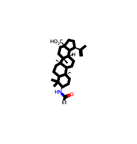 C=C(C)[C@@H]1CC[C@]2(C(=O)O)CC[C@]3(C)[C@H](CCC4[C@@]5(C)CC[C@H](NC(=O)CC)C(C)(C)C5CC[C@]43C)C12